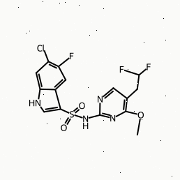 COc1nc(NS(=O)(=O)c2c[nH]c3cc(Cl)c(F)cc23)ncc1CC(F)F